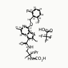 CCCC(C)(CNC(=O)c1c(C)nc2c(OCc3c(F)cccc3F)nc(C)cn12)NC(=O)O.O=C(O)C(F)(F)F